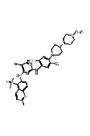 CCc1cc(Nc2ncc(Br)c(Nc3ccc4nc(C)ccc4c3P(C)(C)=O)n2)c(OC)cc1N1CCC(N2CCN(C=O)CC2)CC1